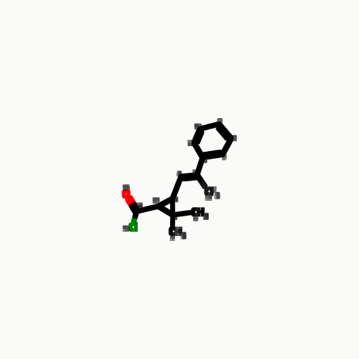 CC1(C)C(/C=C(/c2ccccc2)C(F)(F)F)C1C(=O)Cl